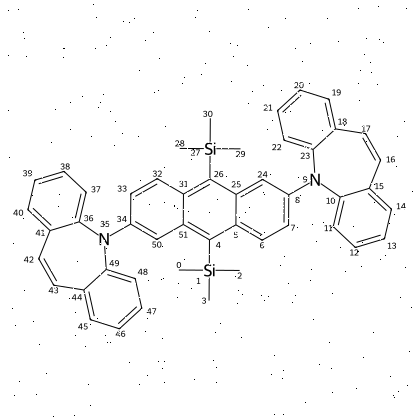 C[Si](C)(C)c1c2ccc(N3c4ccccc4C=Cc4ccccc43)cc2c([Si](C)(C)C)c2ccc(N3c4ccccc4C=Cc4ccccc43)cc12